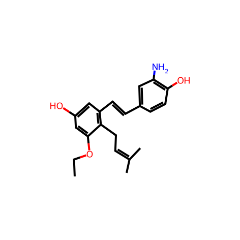 CCOc1cc(O)cc(/C=C/c2ccc(O)c(N)c2)c1CC=C(C)C